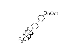 CCCCCCCCOc1ccc([C@H]2CC[C@H](C(F)(F)C(F)(F)C(F)(F)C(F)(F)F)CC2)cc1